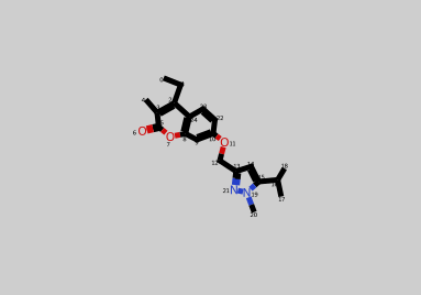 CCc1c(C)c(=O)oc2cc(OCc3cc(C(C)C)n(C)n3)ccc12